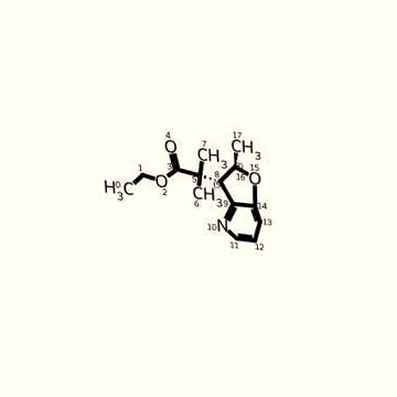 CCOC(=O)C(C)(C)[C@H]1c2ncccc2O[C@@H]1C